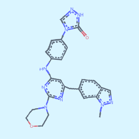 Cn1ncc2ccc(-c3cc(Nc4ccc(-n5cn[nH]c5=O)cc4)nc(N4CCOCC4)n3)cc21